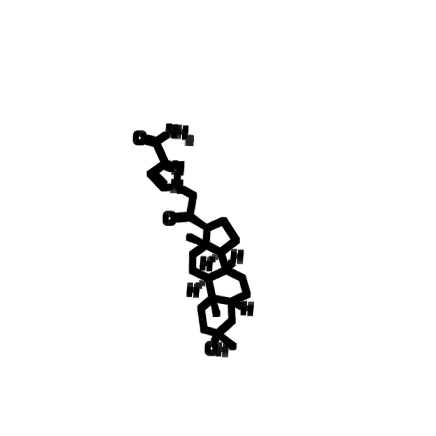 C[C@@]1(O)CC[C@@]2(C)[C@H](CC[C@@H]3[C@@H]2CC[C@]2(C)[C@@H](C(=O)Cn4ccc(C(N)=O)n4)CC[C@@H]32)C1